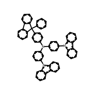 c1ccc(C2(c3ccc(N(c4ccc(-n5c6ccccc6c6ccccc65)cc4)c4cccc(-n5c6ccccc6c6ccccc65)c4)cc3)c3ccccc3-c3ccccc32)cc1